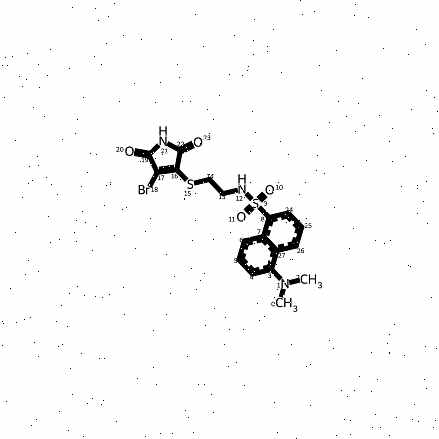 CN(C)c1cccc2c(S(=O)(=O)NCCSC3=C(Br)C(=O)NC3=O)cccc12